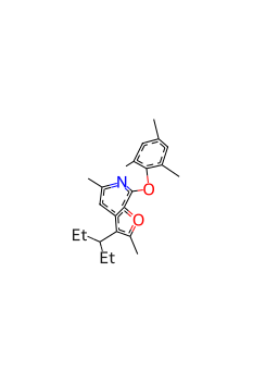 CCC(CC)c1c(C)oc2c(Oc3c(C)cc(C)cc3C)nc(C)cc12